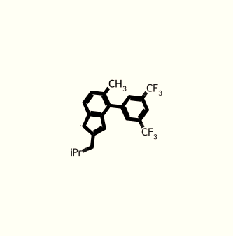 Cc1ccc2c(c1-c1cc(C(F)(F)F)cc(C(F)(F)F)c1)C=C(CC(C)C)[CH]2